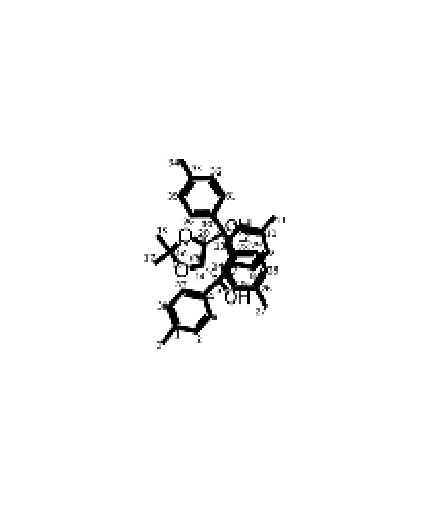 Cc1ccc(C(O)(c2ccc(C)cc2)[C@@H]2OC(C)(C)O[C@H]2C(O)(c2ccc(C)cc2)c2ccc(C)cc2)cc1